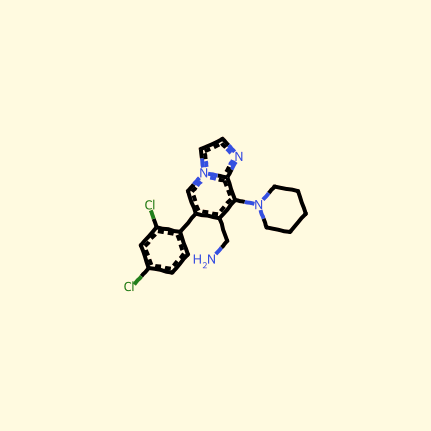 NCc1c(-c2ccc(Cl)cc2Cl)cn2ccnc2c1N1CCCCC1